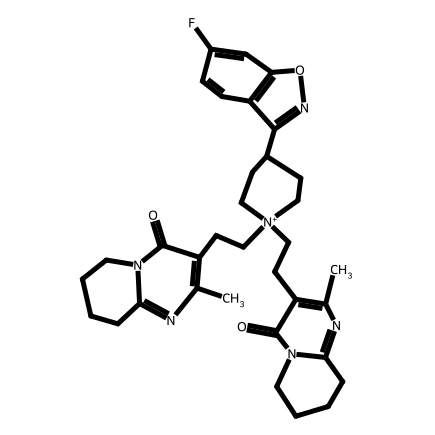 Cc1nc2n(c(=O)c1CC[N+]1(CCc3c(C)nc4n(c3=O)CCCC4)CCC(c3noc4cc(F)ccc34)CC1)CCCC2